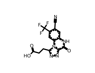 N#Cc1cc2[nH]c(=O)c3nnc(CCC(=O)O)n3c2cc1C(F)(F)F